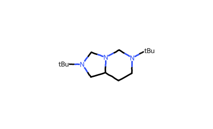 CC(C)(C)N1CCC2CN(C(C)(C)C)CN2C1